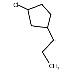 CC[CH]C1CCC(Cl)C1